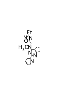 CCc1noc(CN(C)c2nc(-c3ccccn3)nc3c2CCC3)n1